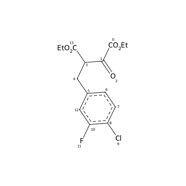 CCOC(=O)C(=O)C(Cc1ccc(Cl)c(F)c1)C(=O)OCC